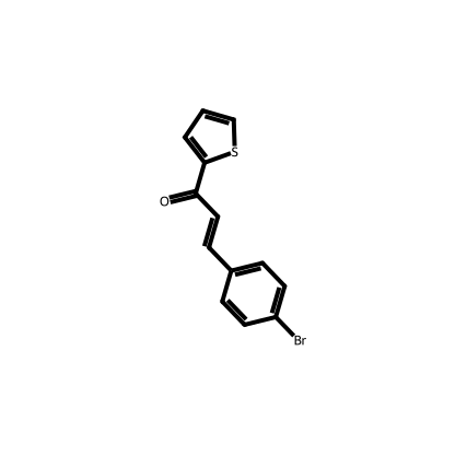 O=C(C=Cc1ccc(Br)cc1)c1cccs1